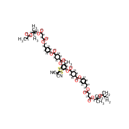 C=CC(=C)OCC(C)(C)COC(=O)CCC(=O)OCCc1ccc(OC(=O)C2CCC(C(=O)Oc3cc(C)c(OC(=O)C4CCC(C(=O)Oc5ccc(CCOC(=O)CCC(=O)OCC(C)(C)COC(=O)C=C)cc5)CC4)c4c3SC(=C(C#N)C#N)S4)CC2)cc1